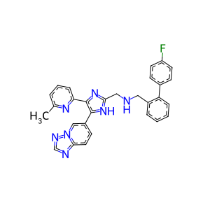 Cc1cccc(-c2nc(CNCc3ccccc3-c3ccc(F)cc3)[nH]c2-c2ccc3ncnn3c2)n1